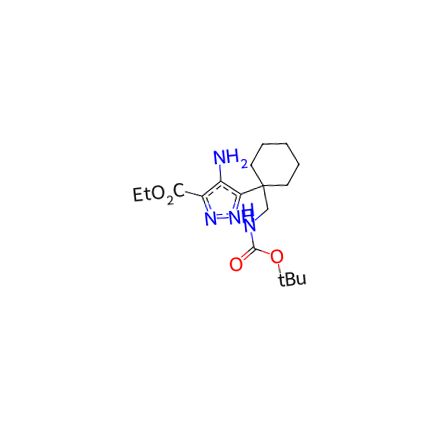 CCOC(=O)c1n[nH]c(C2(CNC(=O)OC(C)(C)C)CCCCC2)c1N